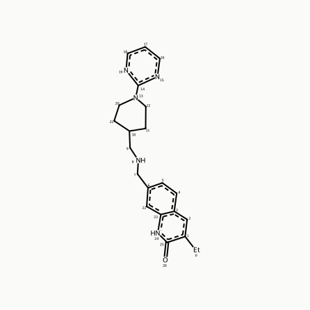 CCc1cc2ccc(CNCC3CCN(c4ncccn4)CC3)cc2[nH]c1=O